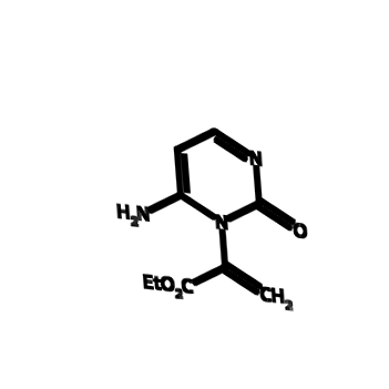 C=C(C(=O)OCC)n1c(N)ccnc1=O